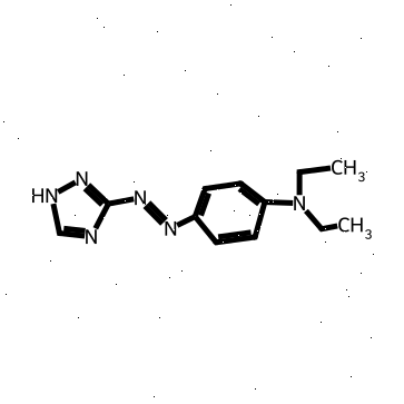 CCN(CC)c1ccc(N=Nc2nc[nH]n2)cc1